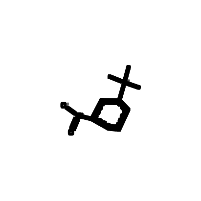 C[N+](C)(C)c1cccc([N+](=O)[O-])c1